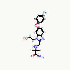 CC(C)(NCc1nc2ccc(Oc3ccc(F)cc3)cc2n1CCO)C(N)=O